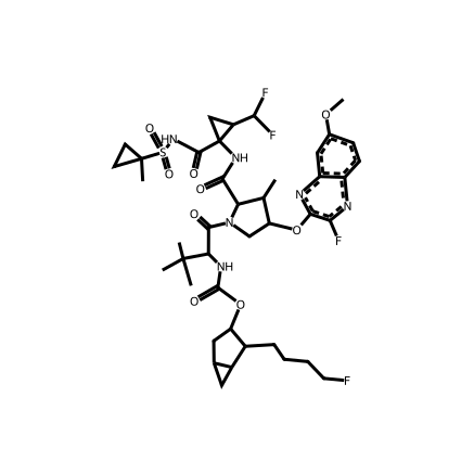 COc1ccc2nc(F)c(OC3CN(C(=O)C(NC(=O)OC4CC5CC5C4CCCCF)C(C)(C)C)C(C(=O)NC4(C(=O)NS(=O)(=O)C5(C)CC5)CC4C(F)F)C3C)nc2c1